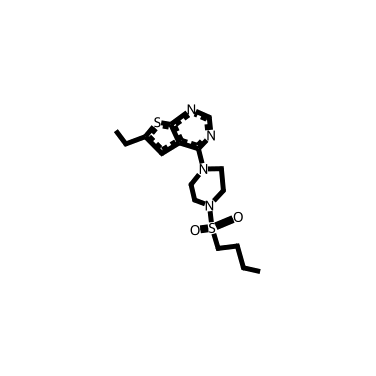 CCCCS(=O)(=O)N1CCN(c2ncnc3sc(CC)cc23)CC1